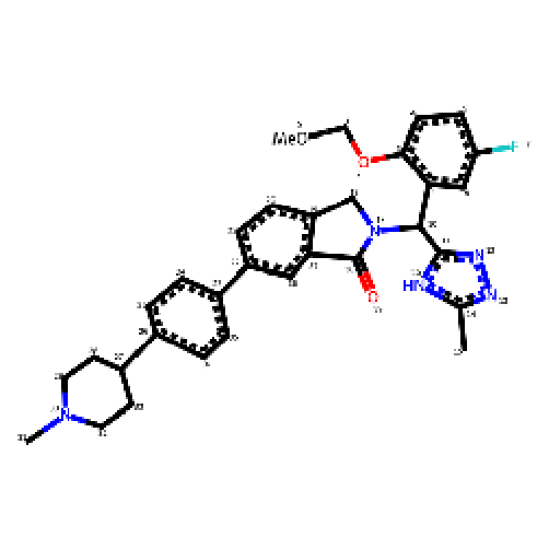 COCOc1ccc(F)cc1C(c1nnc(C)[nH]1)N1Cc2ccc(-c3ccc(C4CCN(C)CC4)cc3)cc2C1=O